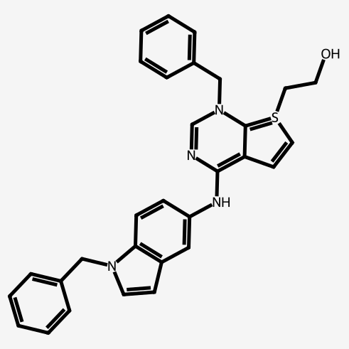 OCCS1=C2C(=C(Nc3ccc4c(ccn4Cc4ccccc4)c3)N=CN2Cc2ccccc2)C=C1